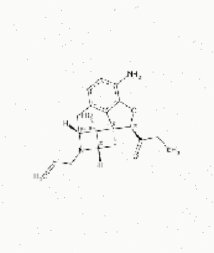 C=CCN1[C@H]2C[C@]34c5c(ccc(N)c5O[C@H]3C(=O)CC)C[C@@H]1[C@]24O